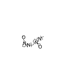 COCCN1CCCC12CN(C(C)(C)CC1CCC3(CN(C(C)(C)C)C3)N1C1COC1)C2